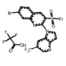 CCS(=O)(=O)c1cc2ccc(Br)cc2nc1-n1ccc2ncc(C(F)(F)F)cc21.O=C(O)C(F)(F)F